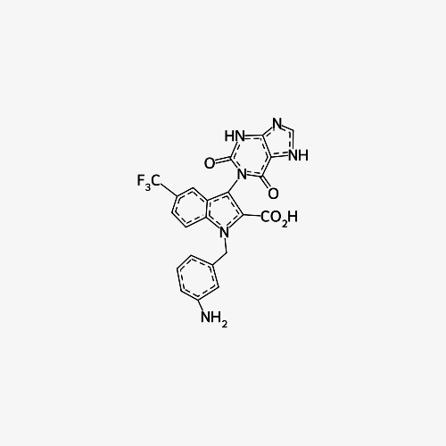 Nc1cccc(Cn2c(C(=O)O)c(-n3c(=O)[nH]c4nc[nH]c4c3=O)c3cc(C(F)(F)F)ccc32)c1